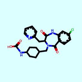 O=C(O)NC1CCC(CN2C(=O)c3ccc(Cl)cc3NC(=O)C2Cc2ccccn2)CC1